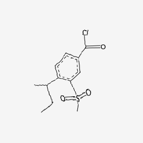 CCC(C)c1ccc(C(=O)Cl)cc1S(C)(=O)=O